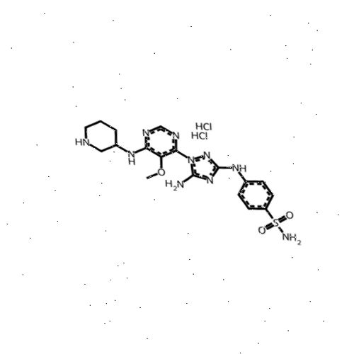 COc1c(NC2CCCNC2)ncnc1-n1nc(Nc2ccc(S(N)(=O)=O)cc2)nc1N.Cl.Cl